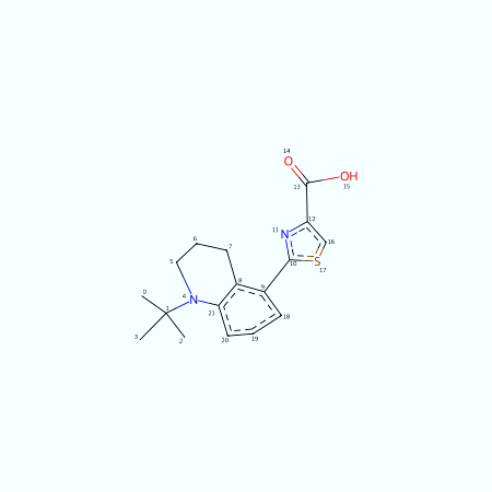 CC(C)(C)N1CCCc2c(-c3nc(C(=O)O)cs3)cccc21